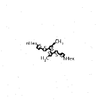 CC#Cc1cc(-c2ccc(-c3ccc(CCCCCC)s3)s2)c(-c2sc(C)cc2-c2ccc(-c3ccc(CCCCCC)s3)s2)s1